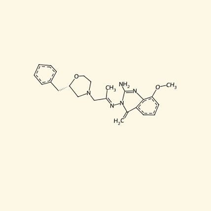 C=C1c2cccc(OC)c2N=C(N)N1/N=C(\C)CN1CCO[C@@H](Cc2ccccc2)C1